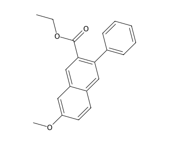 CCOC(=O)c1cc2cc(OC)ccc2cc1-c1ccccc1